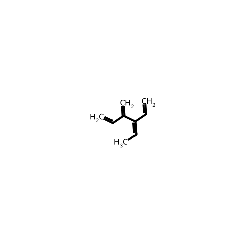 C=CC(=C)/C(C=C)=C\C